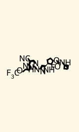 N#Cc1cnc(Nc2cc([C@H]3CC[C@@H](OC(=O)NC45CC(C4)C5)[C@@H]3F)[nH]n2)n2cc(COC(F)(F)F)nc12